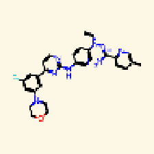 C=CN(/N=C(\N)c1ccc(C)cn1)c1ccc(Nc2nccc(-c3cc(F)cc(N4CCOCC4)c3)n2)cc1